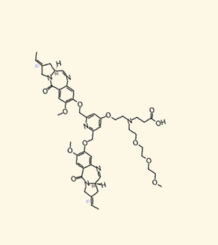 C/C=C1\C[C@H]2C=Nc3cc(OCc4cc(OCCN(CCOCCOCCOC)CCC(=O)O)cc(COc5cc6c(cc5OC)C(=O)N5C/C(=C/C)C[C@H]5C=N6)n4)c(OC)cc3C(=O)N2C1